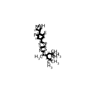 CN(c1nc2sc(-c3cc(F)c(-c4cn[nH]c4)c(F)c3)nc2s1)C1CC(C)(C)NC(C)(C)C1